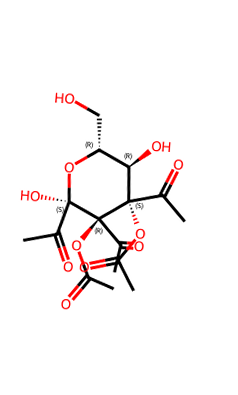 CC(=O)O[C@@]1(C(C)=O)[C@@](O)(C(C)=O)O[C@H](CO)[C@@H](O)[C@@]1(OC(C)=O)C(C)=O